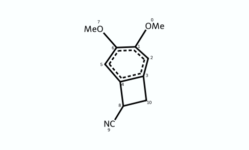 COc1cc2c(cc1OC)C(C#N)C2